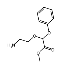 COC(=O)C(OCCN)Oc1ccccc1